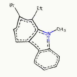 CCc1c(C(C)C)ccc2c3ccccc3n(C)c12